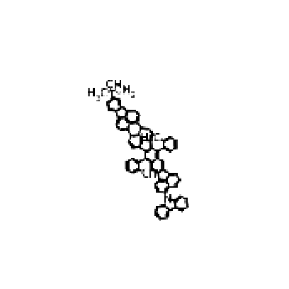 Cc1ccccc1-c1c2cc3c(cc2c(-c2ccccc2C)c2c4ccc5c6ccc7c8c(ccc(c9ccc(c12)c4c95)c86)-c1cc(C(C)(C)C)ccc1-7)c1ccc(-n2c4ccccc4c4ccccc42)c2cccc3c21